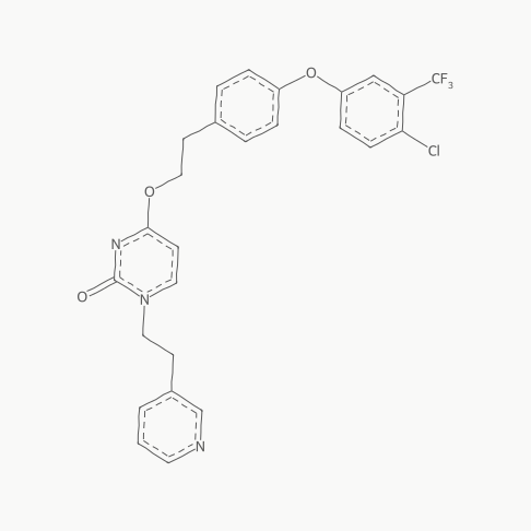 O=c1nc(OCCc2ccc(Oc3ccc(Cl)c(C(F)(F)F)c3)cc2)ccn1CCc1cccnc1